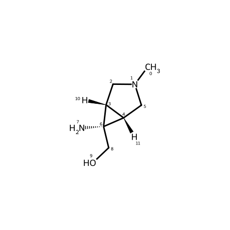 CN1C[C@@H]2[C@H](C1)[C@@]2(N)CO